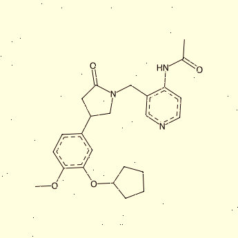 COc1ccc(C2CC(=O)N(Cc3cnccc3NC(C)=O)C2)cc1OC1CCCC1